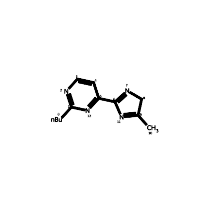 CCCCc1nccc(C2=NCC(C)=N2)n1